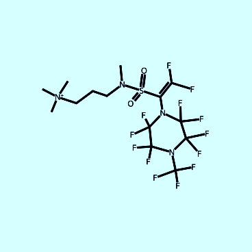 CN(CCC[N+](C)(C)C)S(=O)(=O)C(=C(F)F)N1C(F)(F)C(F)(F)N(C(F)(F)F)C(F)(F)C1(F)F